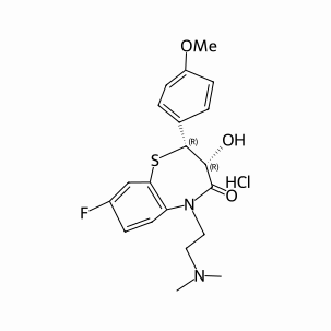 COc1ccc([C@H]2Sc3cc(F)ccc3N(CCN(C)C)C(=O)[C@H]2O)cc1.Cl